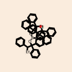 CCC(c1ccccc1)C(OB(OC(c1ccccc1)(c1ccccc1)C(CC)c1ccccc1)OC(c1ccccc1)(c1ccccc1)C(CC)c1ccccc1)(c1ccccc1)c1ccccc1